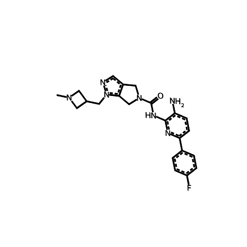 CN1CC(Cn2ncc3c2CN(C(=O)Nc2nc(-c4ccc(F)cc4)ccc2N)C3)C1